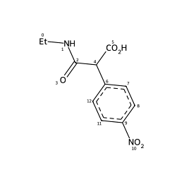 CCNC(=O)C(C(=O)O)c1ccc([N+](=O)[O-])cc1